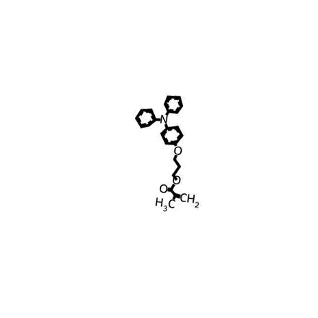 C=C(C)C(=O)OCCCOc1ccc(N(c2ccccc2)c2ccccc2)cc1